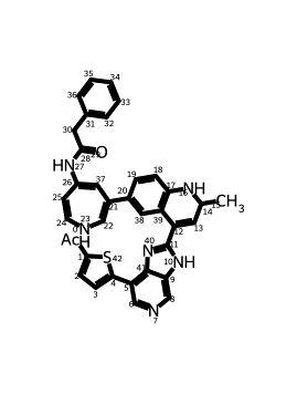 CC(=O)c1ccc(-c2cncc3[nH]c(C4=CC(C)Nc5ccc(C6=CNC=CC(NC(=O)Cc7ccccc7)=C6)cc54)nc23)s1